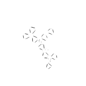 c1ccc(-c2ccc(N(c3cccc(-c4ccccc4-c4ccccc4)c3)c3ccc4c(c3)oc3c4ccc4c3c3ccccc3n4-c3ccccc3)cc2)cc1